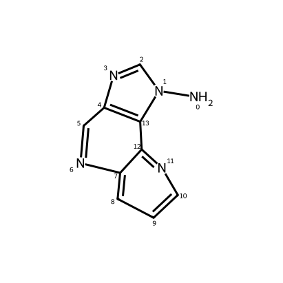 Nn1cnc2cnc3cccnc3c21